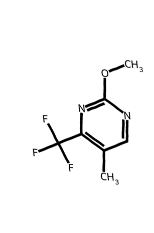 COc1ncc(C)c(C(F)(F)F)n1